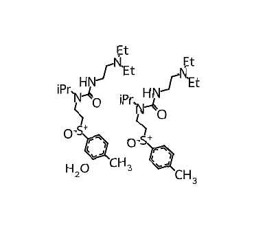 CCN(CC)CCNC(=O)N(CC[S+]([O-])c1ccc(C)cc1)C(C)C.CCN(CC)CCNC(=O)N(CC[S+]([O-])c1ccc(C)cc1)C(C)C.O